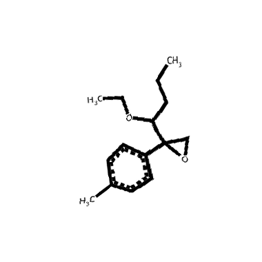 CCCC(OCC)C1(c2ccc(C)cc2)CO1